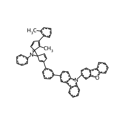 CC1=C(c2ccccc2C)C=C[C@]12N(c1ccccc1)C21C=CC(c2cccc(-c3ccc4c(c3)c3ccccc3n4-c3ccc4c(c3)oc3ccccc34)c2)=C1